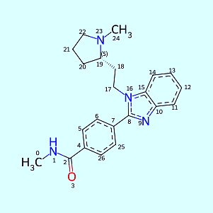 CNC(=O)c1ccc(-c2nc3ccccc3n2CC[C@@H]2CCCN2C)cc1